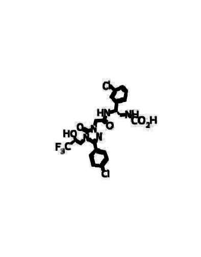 O=C(O)NC[C@H](NC(=O)Cn1nc(-c2ccc(Cl)cc2)n(C[C@H](O)C(F)(F)F)c1=O)c1cccc(Cl)c1